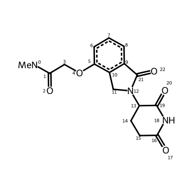 CNC(=O)COc1cccc2c1CN(C1CCC(=O)NC1=O)C2=O